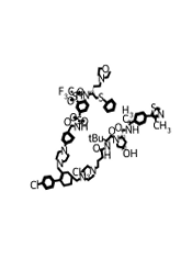 Cc1ncsc1-c1ccc([C@H](C)NC(=O)[C@@H]2C[C@@H](O)CN2C(=O)[C@@H](NC(=O)CCCN2CCN(CC3(C)CCC(c4ccc(Cl)cc4)=C(CN4CCN(c5ccc(C(=O)NS(=O)(=O)c6ccc(N[C@H](CCN7CCOCC7)CSc7ccccc7)c(S(=O)(=O)C(F)(F)F)c6)cc5)CC4)C3)CC2)C(C)(C)C)cc1